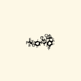 C[C@@H](n1ccn(-c2ccc(OC(F)(F)C(F)F)cc2)c1=O)[C@@]1(c2ccc(F)cc2F)CO1